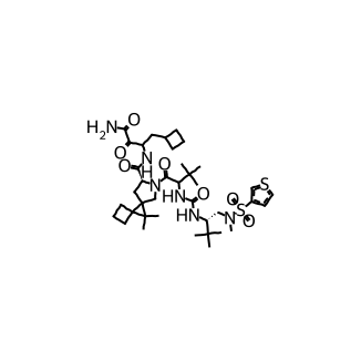 CN(C[C@@H](NC(=O)NC(C(=O)N1CC2(C[C@H]1C(=O)NC(CC1CCC1)C(=O)C(N)=O)C(C)(C)C21CCC1)C(C)(C)C)C(C)(C)C)S(=O)(=O)c1ccsc1